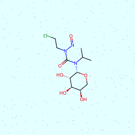 CC(C)N(C(=O)N(CCCl)N=O)[C@@H]1OC[C@@H](O)[C@@H](O)[C@@H]1O